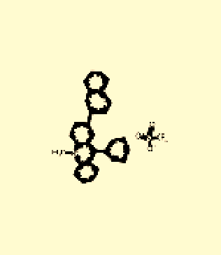 C[n+]1c2ccccc2c(-c2ccccc2)c2cc(-c3ccc4ccccc4c3)ccc21.O=S(=O)([O-])C(F)(F)F